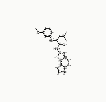 COc1cccc(NC(CC(C)C)C(=O)Nc2nc3ccc4[nH]ncc4c3s2)c1